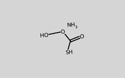 N.O=C(S)OO